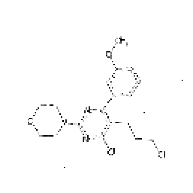 COc1cccc(-c2nc(N3CCOCC3)nc(Cl)c2CCCCl)c1